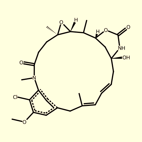 COc1cc2cc(c1Cl)N(C)C(=O)CC[C@@]1(C)O[C@@H]1C(C)[C@H]1C[C@@](O)(C/C=C/C=C(\C)C2)NC(=O)O1